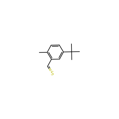 Cc1ccc(C(C)(C)C)cc1C=S